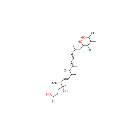 CCC(O)CCC(C)(O)C(/C=C/C(C)C(=O)/C(C)=C/C=C/C(C)CC(O)C(Br)C(C)C(O)CC)OC(C)=O